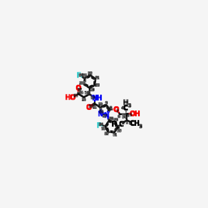 CC(C)[C@](C)(O)COc1cc(C(=O)NC(CC(=O)O)c2cccc(F)c2)nn1-c1ccccc1F